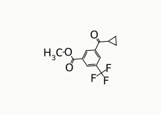 COC(=O)c1cc(C(=O)C2CC2)cc(C(F)(F)F)c1